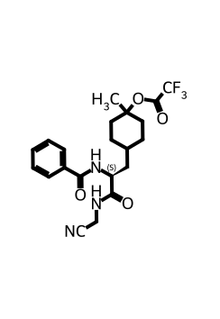 CC1(OC(=O)C(F)(F)F)CCC(C[C@H](NC(=O)c2ccccc2)C(=O)NCC#N)CC1